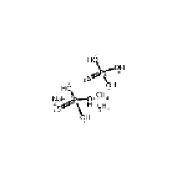 C.C.OP(O)(O)=S.OP(O)(O)=S.[NaH]